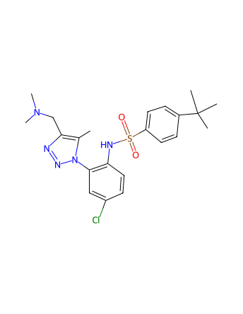 Cc1c(CN(C)C)nnn1-c1cc(Cl)ccc1NS(=O)(=O)c1ccc(C(C)(C)C)cc1